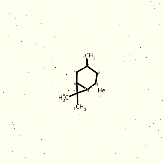 CC1CCC2C(C1)C2(C)C.[He]